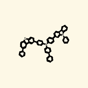 c1ccc(-c2ccc(N(c3ccc(-c4ccc5sc6ccc(-c7ccccc7)cc6c5c4)cc3)c3ccc(-c4ccc5c6ccccc6n(-c6ccccc6)c5c4)cc3)cc2)cc1